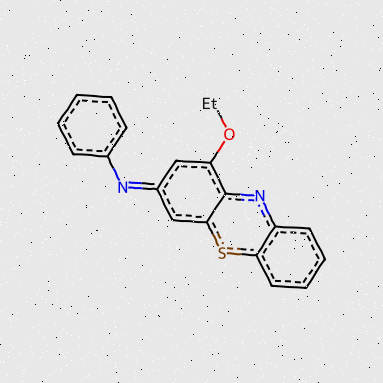 CCOc1cc(=Nc2ccccc2)cc2sc3ccccc3nc1-2